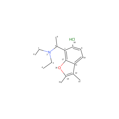 CCN(CC)C(C)c1cccc2c(C)c(C)oc12.Cl